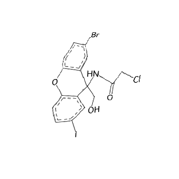 O=C(CCl)NC1(CO)c2cc(Br)ccc2Oc2ccc(I)cc21